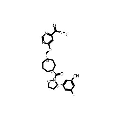 N#Cc1cc(F)cc([C@@H]2CCON2C(=O)[C@H]2CCC[C@H](COc3cc(C(N)=O)ncn3)CC2)c1